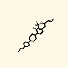 CCCC1CCC(C2CCC(c3ccc4c(c3F)C(F)(F)OC(CCC)C4)CC2)CC1